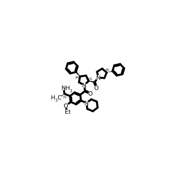 CCOc1cc(N2CCCCC2)c(C(=O)N2C[C@@H](c3ccccc3)C[C@H]2C(=O)N2CC[C@H](c3ccccc3)C2)cc1[C@H](C)N